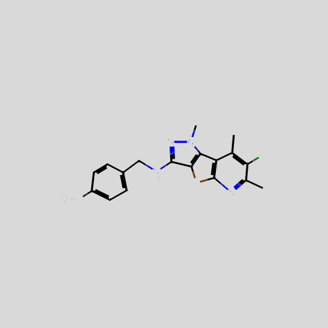 COc1ccc(CNc2nn(C)c3c2sc2nc(C)c(Cl)c(C)c23)cc1